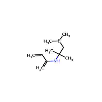 C=CC(=C)NC(C)(C)CB(C)C